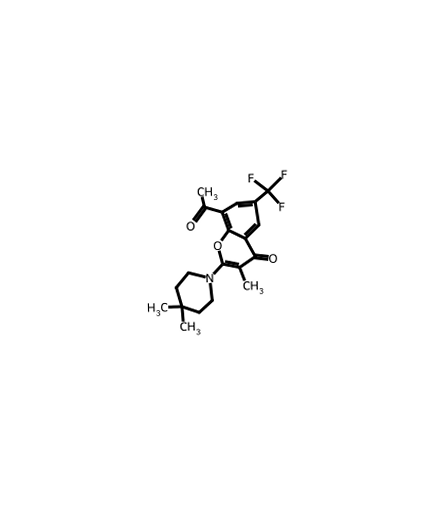 CC(=O)c1cc(C(F)(F)F)cc2c(=O)c(C)c(N3CCC(C)(C)CC3)oc12